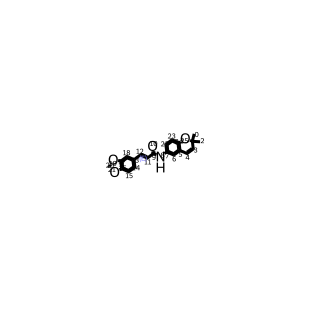 CC1(C)C=Cc2cc(NC(=O)/C=C/c3ccc4c(c3)OCO4)ccc2O1